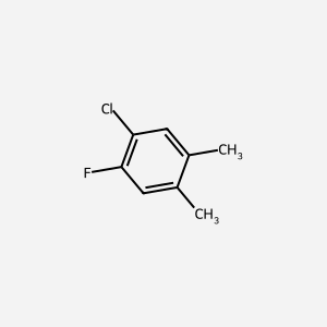 Cc1cc(F)c(Cl)cc1C